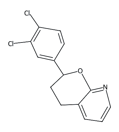 Clc1ccc(C2CCc3cccnc3O2)cc1Cl